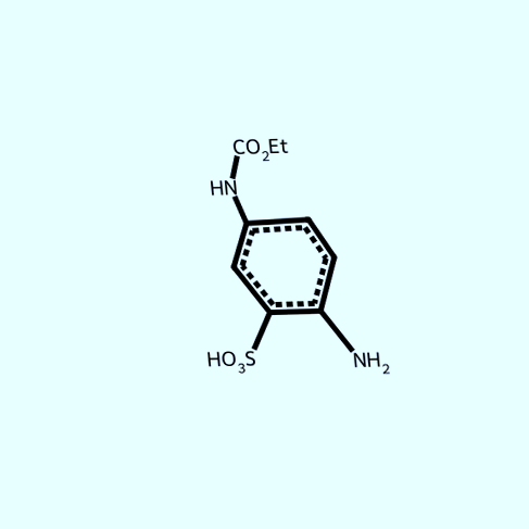 CCOC(=O)Nc1ccc(N)c(S(=O)(=O)O)c1